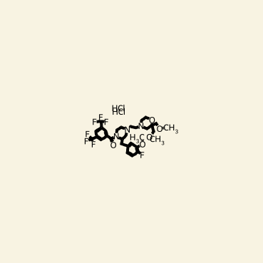 COCC1(COC)CN(CCN2CCN(C(=O)c3cc(C(F)(F)F)cc(C(F)(F)F)c3)C(Cc3ccc(F)c(OC)c3)C2)CCO1.Cl.Cl